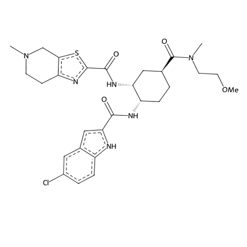 COCCN(C)C(=O)[C@H]1CC[C@H](NC(=O)c2cc3cc(Cl)ccc3[nH]2)[C@H](NC(=O)c2nc3c(s2)CN(C)CC3)C1